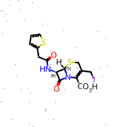 O=C(Cc1cccs1)N[C@@H]1C(=O)N2C(C(=O)O)=C(CI)CS[C@@H]12